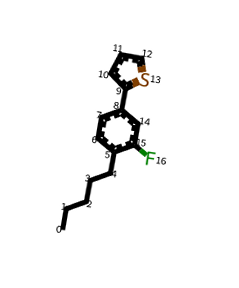 CCCCCc1ccc(-c2cccs2)cc1F